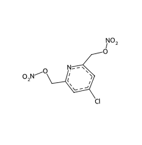 O=[N+]([O-])OCc1cc(Cl)cc(CO[N+](=O)[O-])n1